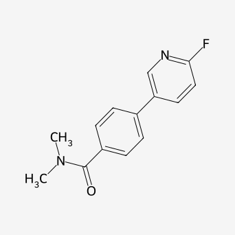 CN(C)C(=O)c1ccc(-c2ccc(F)nc2)cc1